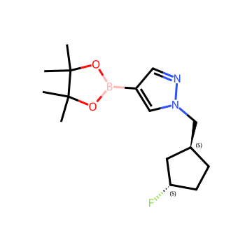 CC1(C)OB(c2cnn(C[C@H]3CC[C@H](F)C3)c2)OC1(C)C